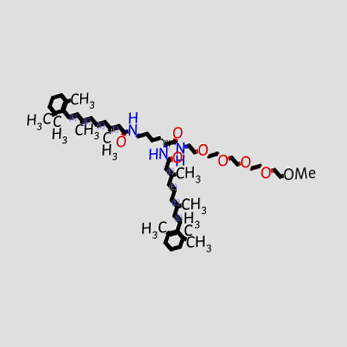 COCCOCCOCCOCCOCCNC(=O)[C@@H](CCCCNC(=O)/C=C(C)/C=C/C=C(C)/C=C/C1=C(C)CCCC1(C)C)NC(=O)/C=C(C)/C=C/C=C(C)/C=C/C1=C(C)CCCC1(C)C